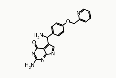 NC1=NC(=O)C2=C(C(N)c3ccc(OCc4ccccn4)cc3)C=NC2=N1